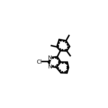 Cc1cc(C)c(-c2nc(Cl)nc3ccccc23)c(C)c1